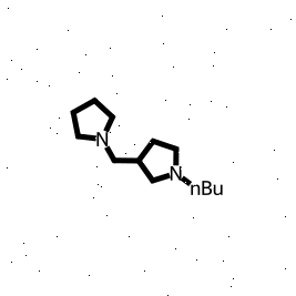 CCCCN1CCC(CN2CCCC2)C1